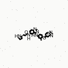 Cc1cc(Nc2ncnc3ccc(NC(=O)/C=C/[C@H]4CCCN4)cc23)ccc1Oc1ccn2ncnc2c1